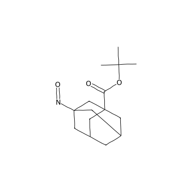 CC(C)(C)OC(=O)C12CC3CC(CC(N=O)(C3)C1)C2